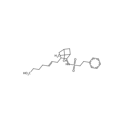 CC1(C)C2CC(CC=CCCCC(=O)O)C(NS(=O)(=O)CCc3ccccc3)C1C2